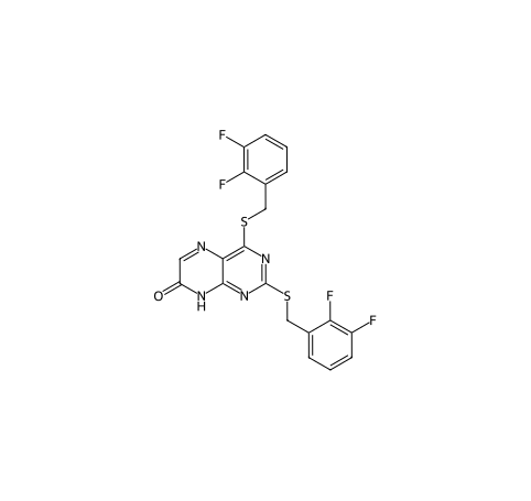 O=c1cnc2c(SCc3cccc(F)c3F)nc(SCc3cccc(F)c3F)nc2[nH]1